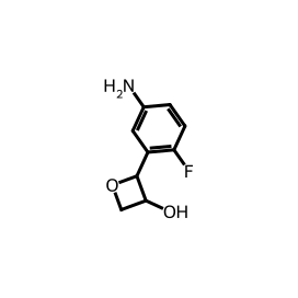 Nc1ccc(F)c(C2OCC2O)c1